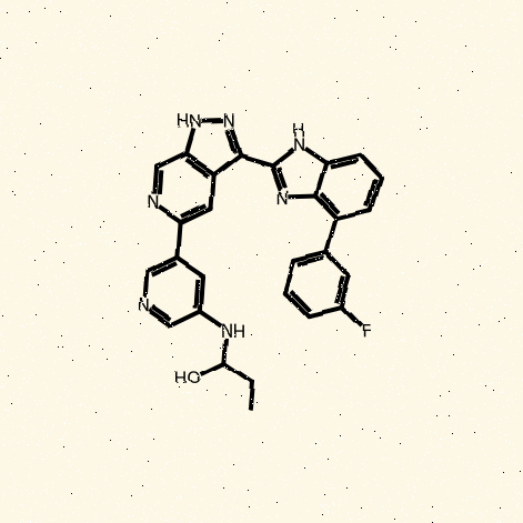 CCC(O)Nc1cncc(-c2cc3c(-c4nc5c(-c6cccc(F)c6)cccc5[nH]4)n[nH]c3cn2)c1